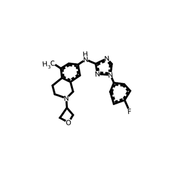 Cc1cc(Nc2ncn(-c3ccc(F)cc3)n2)cc2c1CCN(C1COC1)C2